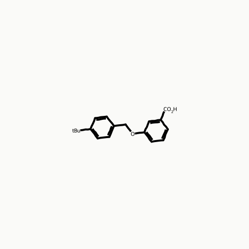 CC(C)(C)c1ccc(COc2cccc(C(=O)O)c2)cc1